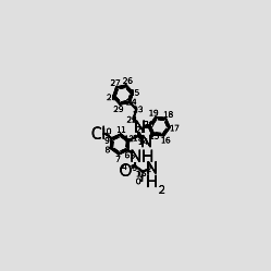 C[C@H](N)C(=O)Nc1ccc(Cl)cc1-c1nc2ccccc2n1CCc1ccccc1